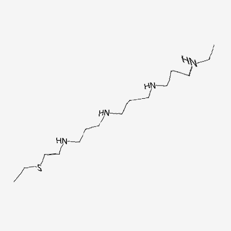 CCNCCCNCCCNCCCNCCSCC